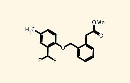 COC(=O)Cc1ccccc1COc1ccc(C)cc1C(F)F